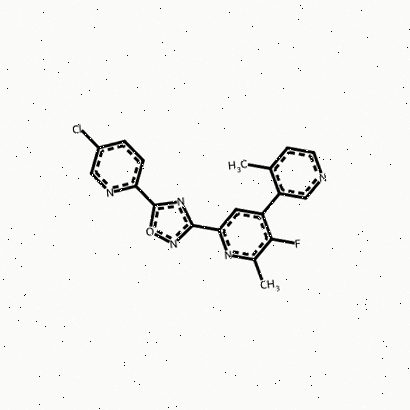 Cc1ccncc1-c1cc(-c2noc(-c3ccc(Cl)cn3)n2)nc(C)c1F